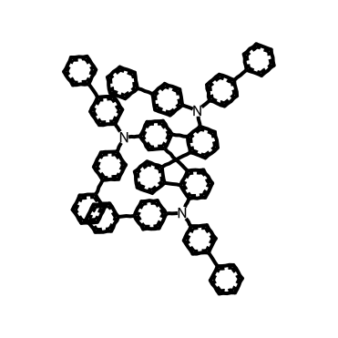 c1ccc(-c2ccc(N(c3ccc(-c4ccccc4)cc3)c3ccc4c(c3)C3(c5ccccc5-c5c(N(c6ccc(-c7ccccc7)cc6)c6ccc(-c7ccccc7)cc6)cccc53)c3cccc(N(c5ccc(-c6ccccc6)cc5)c5ccc(-c6ccccc6)cc5)c3-4)cc2)cc1